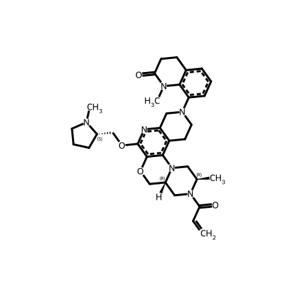 C=CC(=O)N1C[C@@H]2COc3c(OC[C@@H]4CCCN4C)nc4c(c3N2C[C@H]1C)CCN(c1cccc2c1N(C)C(=O)CC2)C4